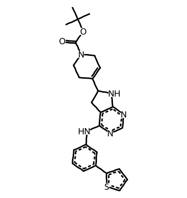 CC(C)(C)OC(=O)N1CC=C(C2Cc3c(Nc4cccc(-c5cccs5)c4)ncnc3N2)CC1